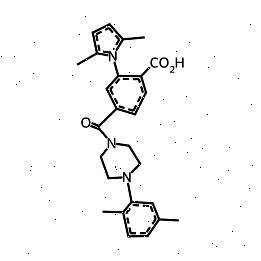 Cc1ccc(C)c(N2CCN(C(=O)c3ccc(C(=O)O)c(-n4c(C)ccc4C)c3)CC2)c1